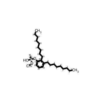 CCCCCCCCCc1cccc(OP(O)(=S)OCl)c1CCCCCCCCC